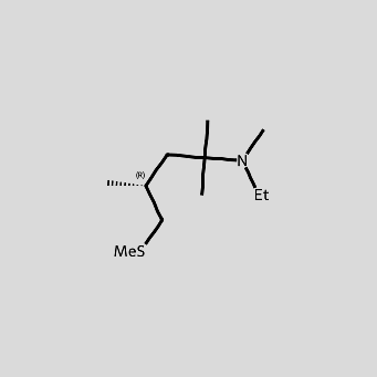 CCN(C)C(C)(C)C[C@@H](C)CSC